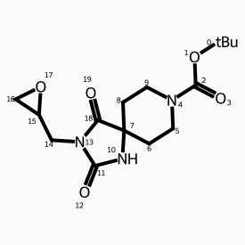 CC(C)(C)OC(=O)N1CCC2(CC1)NC(=O)N(CC1CO1)C2=O